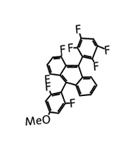 COc1cc(F)c(-c2c3ccccc3c(-c3c(F)c(F)cc(F)c3F)c3c(F)ccc(F)c23)c(F)c1